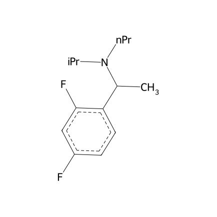 CCCN(C(C)C)C(C)c1ccc(F)cc1F